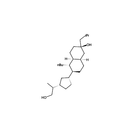 CCCC[C@H]1[C@H]([C@@H]2CC[C@H](C(C)CO)C2)CC[C@@H]2C[C@@](O)(CC(C)C)CC[C@@H]21